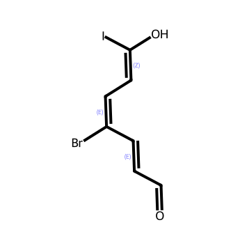 O=C/C=C/C(Br)=C\C=C(\O)I